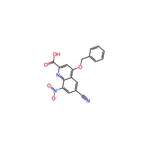 N#Cc1cc([N+](=O)[O-])c2nc(C(=O)O)cc(OCc3ccccc3)c2c1